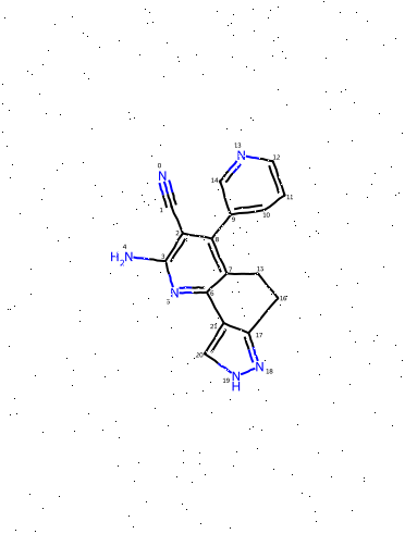 N#Cc1c(N)nc2c(c1-c1cccnc1)CCc1n[nH]cc1-2